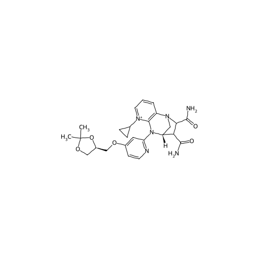 CC1(C)OC[C@H](COc2ccnc(N3c4c(ccc[n+]4C4CC4)N4C[C@@H]3C(C(N)=O)C4C(N)=O)c2)O1